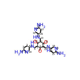 Nc1ccc(NC=C2C(=O)C(=CNc3ccc(N)nc3)C(=O)C(=CNc3ccc(N)nc3)C2=O)cn1